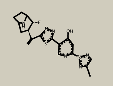 C=C(c1nnc(-c2cnc(-n3ncc(C)n3)cc2O)s1)[C@H]1CC2CCC(N2)[C@@H]1F